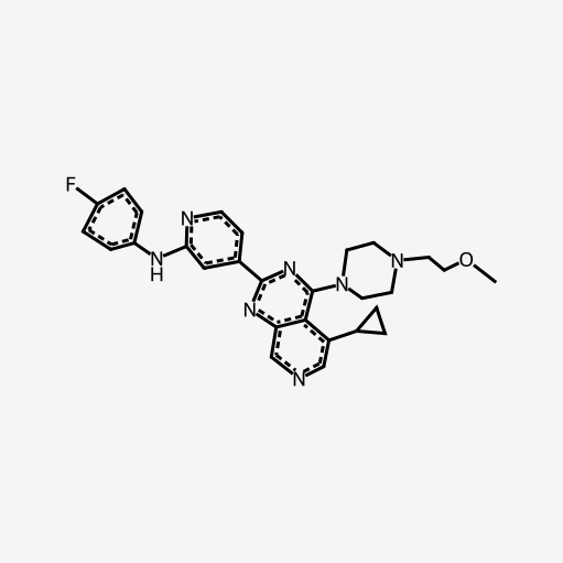 COCCN1CCN(c2nc(-c3ccnc(Nc4ccc(F)cc4)c3)nc3cncc(C4CC4)c23)CC1